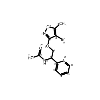 Cc1onc(OCC(NC(=O)O)c2ccccn2)c1Br